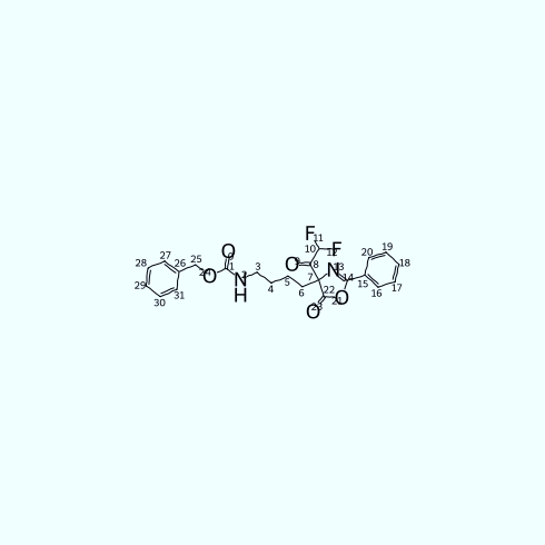 O=C(NCCCCC1(C(=O)C(F)F)N=C(c2ccccc2)OC1=O)OCc1ccccc1